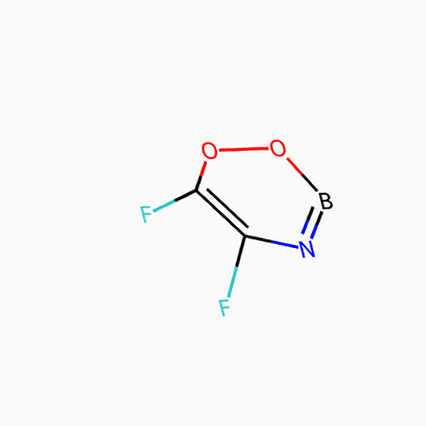 FC1=C(F)OOB=N1